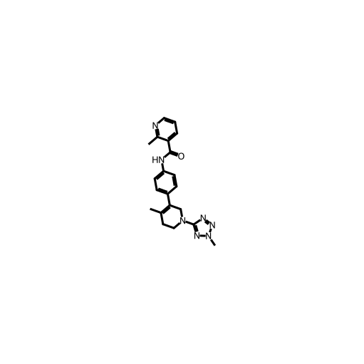 CC1=C(c2ccc(NC(=O)c3cccnc3C)cc2)CN(c2nnn(C)n2)CC1